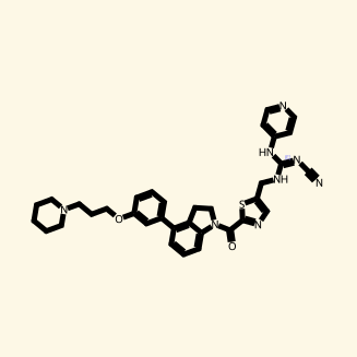 N#C/N=C(\NCc1cnc(C(=O)N2CCc3c(-c4cccc(OCCCN5CCCCC5)c4)cccc32)s1)Nc1ccncc1